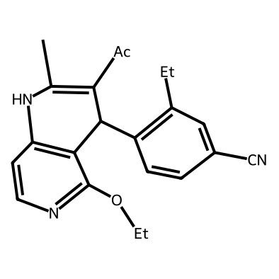 CCOc1nccc2c1C(c1ccc(C#N)cc1CC)C(C(C)=O)=C(C)N2